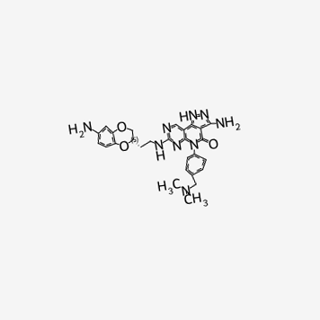 CN(C)Cc1ccc(-n2c(=O)c3c(N)n[nH]c3c3cnc(NCC[C@H]4COc5cc(N)ccc5O4)nc32)cc1